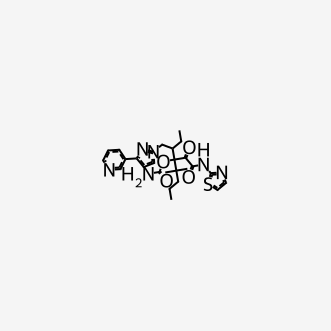 CCCC(C)(C)C(OC(N)=O)(C(=O)C(=O)Nc1nccs1)C(CC)Cn1ccc(-c2cccnc2)n1